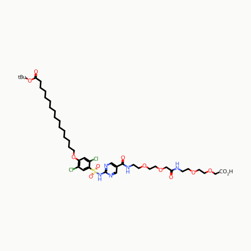 CC(C)(C)OC(=O)CCCCCCCCCCCCCCCOc1cc(Cl)c(S(=O)(=O)Nc2ncc(C(=O)NCCOCCOCC(=O)NCCOCCOCC(=O)O)cn2)cc1Cl